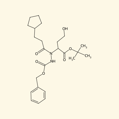 CC(C)(C)OC(=O)C(CCO)N(NC(=O)OCc1ccccc1)C(=O)CCC1CCCC1